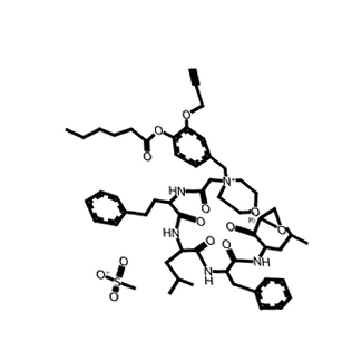 C#CCOc1cc(C[N+]2(CC(=O)NC(CCc3ccccc3)C(=O)NC(CC(C)C)C(=O)NC(Cc3ccccc3)C(=O)NC(CC(C)C)C(=O)[C@@]3(C)CO3)CCOCC2)ccc1OC(=O)CCCCC.CS(=O)(=O)[O-]